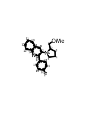 COCC1CCCN1c1cc2ccccc2nc1-c1ccc(F)cc1